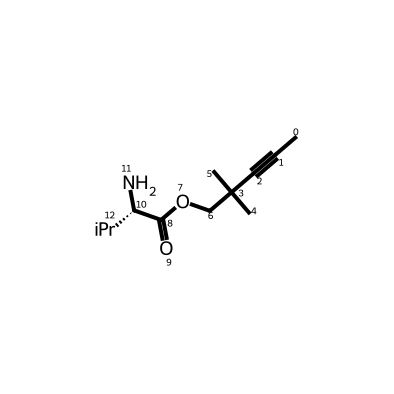 CC#CC(C)(C)COC(=O)[C@@H](N)C(C)C